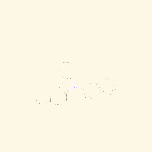 OB(O)c1ccc2c(c1)c1c3ccccc3ccc1n2-c1ccc2ccccc2c1